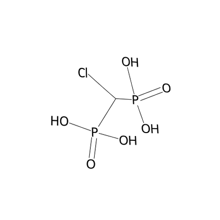 O=P(O)(O)C(Cl)P(=O)(O)O